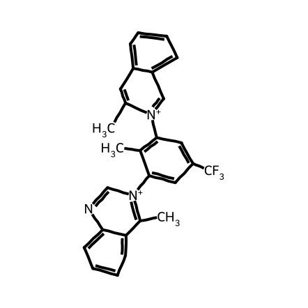 Cc1c(-[n+]2cc3ccccc3cc2C)cc(C(F)(F)F)cc1-[n+]1cnc2ccccc2c1C